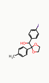 Cc1ccc(C2(C(O)c3ccc(I)cc3)OCCO2)cc1